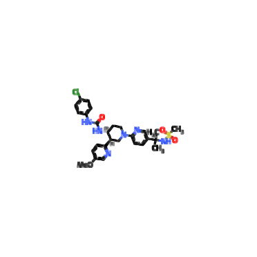 COc1ccc([C@@H]2CN(c3ccc(C(C)(C)NS(C)(=O)=O)cn3)CC[C@H]2NC(=O)Nc2ccc(Cl)cc2)nc1